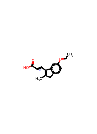 CCOc1ccc2c(c1)C(/C=C/C(=O)O)=C(C)C2